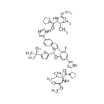 COC(=O)N[C@H](C(=O)N1CCC[C@H]1c1nc(-c2cc(F)c3c(c2)OC(c2ccc(C(C)(C)C)s2)n2c-3cc3cc(-c4cnc([C@@H]5CCCN5C(=O)[C@@H](NC(=O)OC)C(C)C)[nH]4)ccc32)c[nH]1)C(C)C